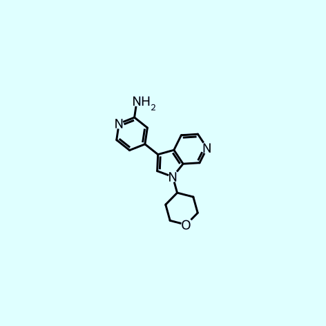 Nc1cc(-c2cn(C3CCOCC3)c3cnccc23)ccn1